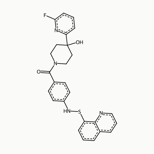 O=C(c1ccc(NSc2cccc3cccnc23)cc1)N1CCC(O)(c2cccc(F)n2)CC1